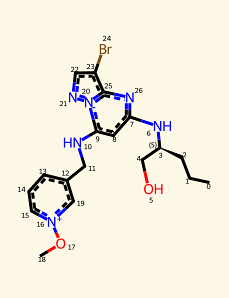 CCC[C@@H](CO)Nc1cc(NCc2ccc[n+](OC)c2)n2ncc(Br)c2n1